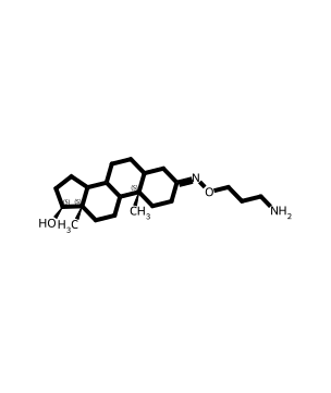 C[C@]12CCC(=NOCCCN)CC1CCC1C2CC[C@@]2(C)C1CC[C@@H]2O